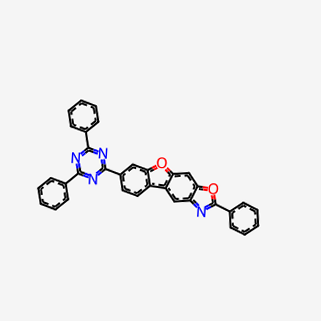 c1ccc(-c2nc(-c3ccccc3)nc(-c3ccc4c(c3)oc3cc5oc(-c6ccccc6)nc5cc34)n2)cc1